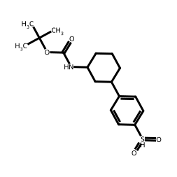 CC(C)(C)OC(=O)NC1CCCC(c2ccc([SH](=O)=O)cc2)C1